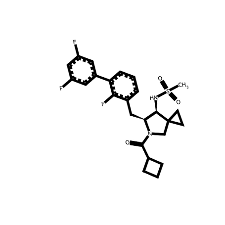 CS(=O)(=O)N[C@@H]1[C@H](Cc2cccc(-c3cc(F)cc(F)c3)c2F)N(C(=O)C2CCC2)CC12CC2